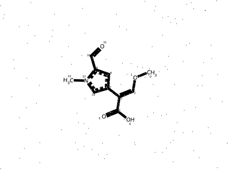 CO/C=C(/C(=O)O)c1cc(C=O)n(C)c1